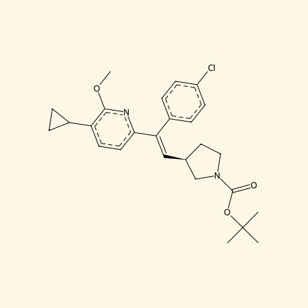 COc1nc(/C(=C/[C@H]2CCN(C(=O)OC(C)(C)C)C2)c2ccc(Cl)cc2)ccc1C1CC1